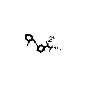 CON=C(C(=O)OC)c1cccc(OCc2ccccc2F)c1